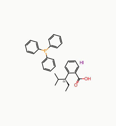 CC[C@H](c1ccccc1C(=O)O)C(C)C.I.c1ccc(P(c2ccccc2)c2ccccc2)cc1